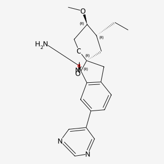 CC[C@@H]1C[C@]2(CC[C@H]1OC)Cc1ccc(-c3cncnc3)cc1[C@@]21COC(N)=N1